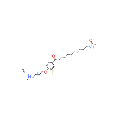 C=CCN(C)C/C=C/COc1ccc(C(=O)CCCCCCCCCCNC(C)=O)cc1F